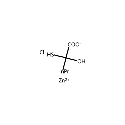 CCCC(O)(S)C(=O)[O-].[Cl-].[Zn+2]